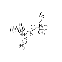 COCCCn1c(C2CCCN(C(=O)C[C@@H](Cc3ccc([N+](=O)[O-])cc3)NC(=O)OC(C)(C)C)C2)c(C)c2ccccc21